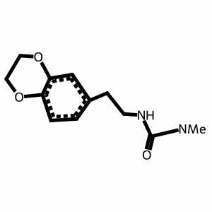 CNC(=O)NCCc1ccc2c(c1)OCCO2